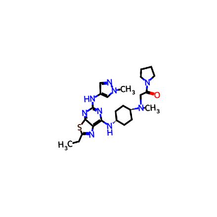 CCc1nc2c(N[C@H]3CC[C@H](N(C)CC(=O)N4CCCC4)CC3)nc(Nc3cnn(C)c3)nc2s1